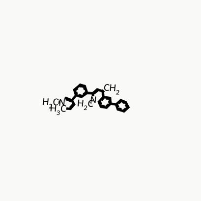 C=N/C=C(\C=C/C)c1cccc(/C(=C/C(=C)c2cccc(-c3ccccc3)c2)N=C)c1